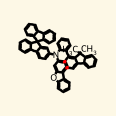 CC1(C)c2ccccc2-c2cccc(-c3ccccc3N(c3ccc4c(c3)C3(c5ccccc5-c5ccccc53)c3ccccc3-4)c3ccc4c(c3)oc3ccccc34)c21